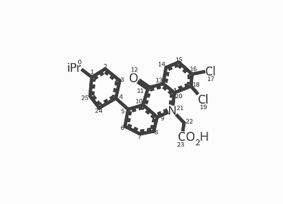 CC(C)c1ccc(-c2cccc3c2c(=O)c2ccc(Cl)c(Cl)c2n3CC(=O)O)cc1